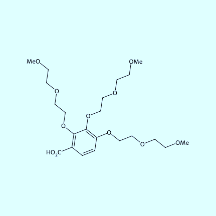 COCCOCCOc1ccc(C(=O)O)c(OCCOCCOC)c1OCCOCCOC